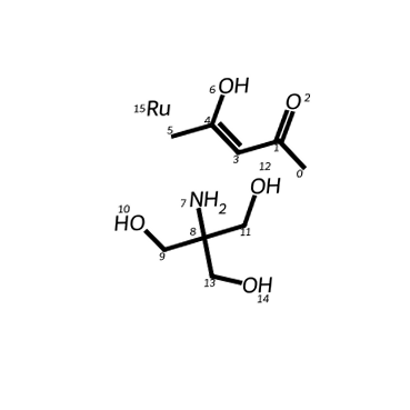 CC(=O)/C=C(/C)O.NC(CO)(CO)CO.[Ru]